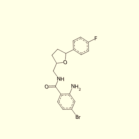 Nc1cc(Br)ccc1C(=O)NCC1CCC(c2ccc(F)cc2)O1